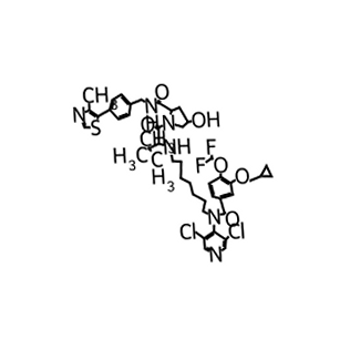 Cc1ncsc1-c1ccc(CNC(=O)C2CC(O)CN2C(=O)C(NCCCCCCCN(C(=O)c2ccc(OC(F)F)c(OCC3CC3)c2)c2c(Cl)cncc2Cl)C(C)(C)C)cc1